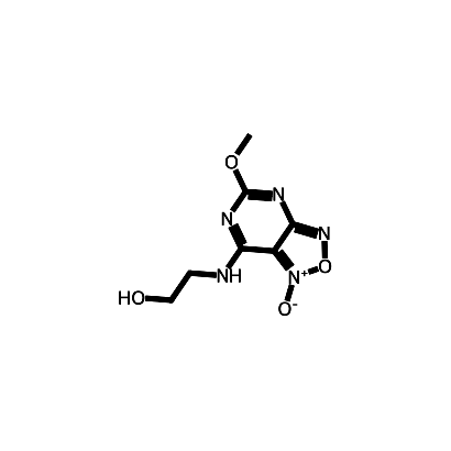 COc1nc(NCCO)c2c(no[n+]2[O-])n1